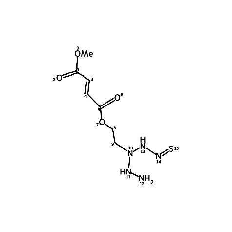 COC(=O)/C=C/C(=O)OCCN(NN)NN=S